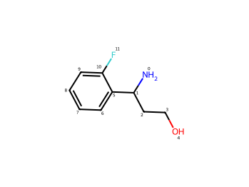 NC(CCO)c1ccccc1F